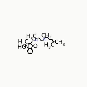 CC(C)=CCC/C(C)=C/CC/C(C)=C/Cc1c(C)n(O)c2ccccc2c1=O